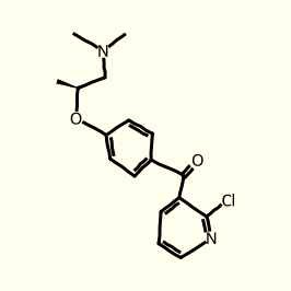 C[C@@H](CN(C)C)Oc1ccc(C(=O)c2cccnc2Cl)cc1